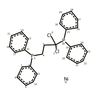 ClC(Cl)(CCP(c1ccccc1)c1ccccc1)P(c1ccccc1)c1ccccc1.[Ni]